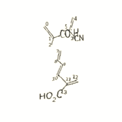 C=C(C)C(=O)O.C=CC#N.C=CC=CC(=C)C(=O)O